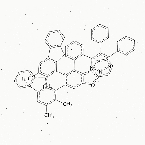 Cc1cc2c(c(-c3cc4oc5ccccc5c4c(-c4ccccc4-c4nnnc(-c5ccccc5)c4-c4ccccc4)c3-c3c(C)c(C)cc4c3Cc3ccccc3-4)c1C)Cc1ccccc1-2